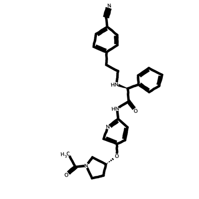 CC(=O)N1CC[C@@H](Oc2ccc(NC(=O)[C@@H](NCCc3ccc(C#N)cc3)c3ccccc3)nc2)C1